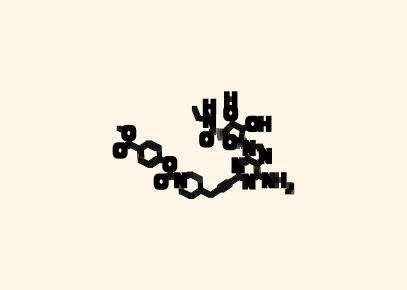 CCNC(=O)[C@H]1O[C@@H](n2cnc3c(N)nc(C#CCC4CCN(C(=O)Oc5ccc(C(=O)OC)cc5)CC4)nc32)C(O)C1O